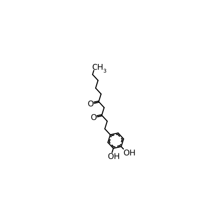 CCCCCC(=O)CC(=O)CCc1ccc(O)c(O)c1